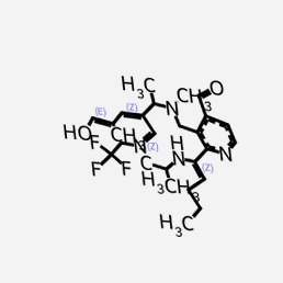 CCC/C=C(\NC(C)C)c1nccc(C=O)c1CN(C)C(C)C(/C=N\CC(F)(F)F)=C/C(C)=C/O